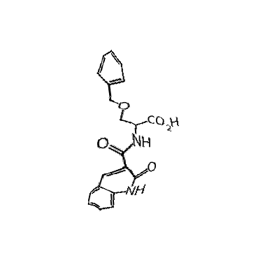 O=C(NC(COCc1ccccc1)C(=O)O)c1cc2ccccc2[nH]c1=O